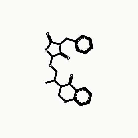 CC(COC1SC(=O)N(Cc2ccccc2)C1=O)N1CSc2ccccc2C1=O